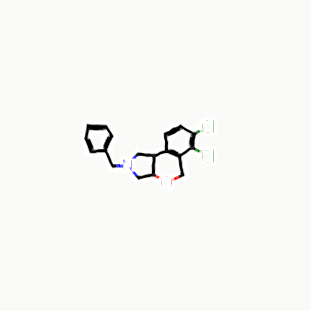 Clc1ccc2c(c1Cl)COC1CN(Cc3ccccc3)CC21